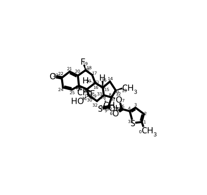 Cc1ccc(C(=O)O[C@@]2(C(O)=S)[C@H](C)C[C@H]3[C@@H]4C[C@H](F)C5=CC(=O)C=C[C@]5(C)[C@@]4(F)[C@@H](O)C[C@@]32C)s1